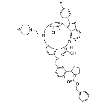 Cc1c2ccc(c1Cl)CN(CCN1CCN(C)CC1)Cc1ccc(OCc3ccnc(C4CCCN4C(=O)OCc4ccccc4)n3)c(c1)C[C@H](C(=O)O)Oc1ncnc3sc(-c4ccc(F)cc4)c-2c13